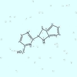 O=C(O)c1ccnc(C2Nc3ccccc3S2)n1